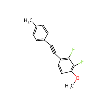 COc1ccc(C#Cc2ccc(C)cc2)c(F)c1F